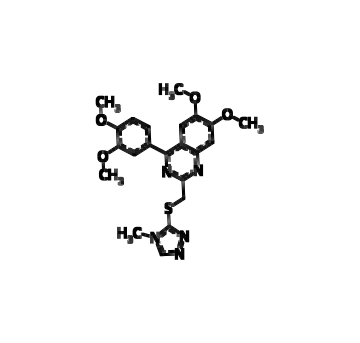 COc1ccc(-c2nc(CSc3nncn3C)nc3cc(OC)c(OC)cc23)cc1OC